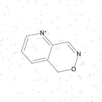 C1=C[N+]=C2C=NOCC2=C1